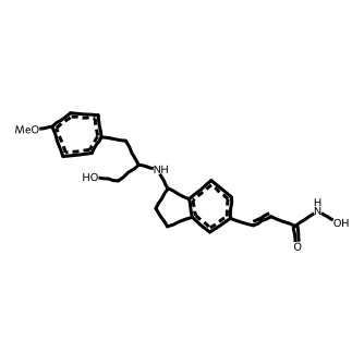 COc1ccc(CC(CO)NC2CCc3cc(/C=C/C(=O)NO)ccc32)cc1